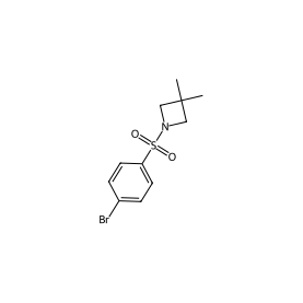 CC1(C)CN(S(=O)(=O)c2ccc(Br)cc2)C1